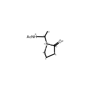 CC(=O)NC(C)N1CCCC1=O